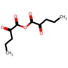 CCCC(=O)C(=O)OC(=O)C(=O)CCC